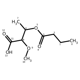 CCCC(=O)OC(C)C(OC)C(=O)O